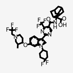 CC1CN(CC(F)(F)F)CCC1Oc1ccc2c(-c3ncc(C(=O)NC4(C(=O)O)C5CC6CC(C5)CC4C6)c(C(F)(F)F)n3)cn(C3CCC(F)(F)CC3)c2c1